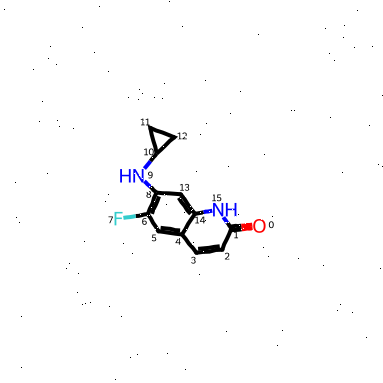 O=c1ccc2cc(F)c(NC3CC3)cc2[nH]1